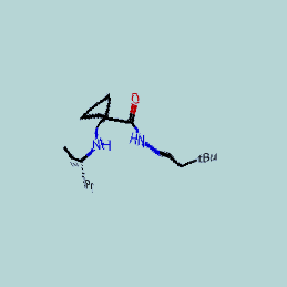 CC(C)[C@H](C)NC1(C(=O)NCCC(C)(C)C)CC1